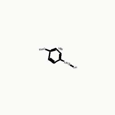 Br.CC[CH2][Mg][c]1ccc(OC)cc1